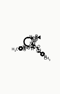 COc1ccc(-c2csc(C(=O)N3C[C@H]4CN5C(=O)[C@@H](NS(=O)(=O)c6ccc(C)cc6)CCCCC/C=C\[C@@H]6C[C@@]6(C(=O)NS(=O)(=O)C6CC6)NC(=O)[C@@H]5[C@H]4C3)n2)cc1